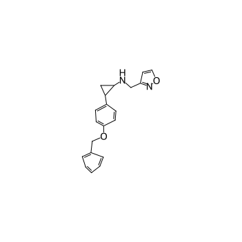 c1ccc(COc2ccc(C3CC3NCc3ccon3)cc2)cc1